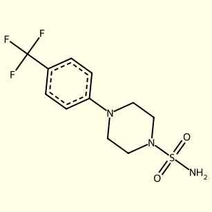 NS(=O)(=O)N1CCN(c2ccc(C(F)(F)F)cc2)CC1